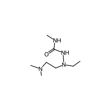 CCN(CCN(C)C)NC(=O)NC